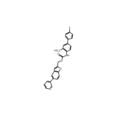 O=C(Nc1ccc(-c2ccc(F)cc2)cc1C(=O)O)OCc1cc2cc(-c3cccnc3)ccc2o1